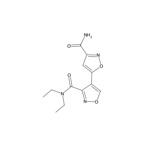 CCN(CC)C(=O)c1nocc1-c1cc(C(N)=O)no1